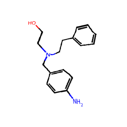 Nc1ccc(CN(CCO)CCc2ccccc2)cc1